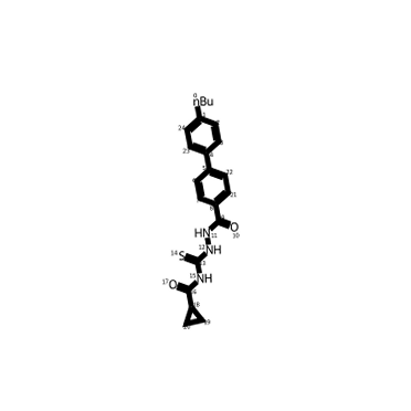 CCCCc1ccc(-c2ccc(C(=O)NNC(=S)NC(=O)C3CC3)cc2)cc1